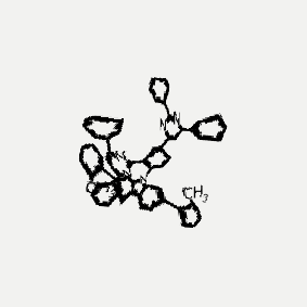 Cc1ccccc1-c1ccc2c3ccc(-c4ccccc4C)cc3n(-c3ccc(-c4cc(-c5ccccc5)nc(-c5ccccc5)n4)cc3-c3nc(-c4ccccc4)cc(-c4ccccc4)n3)c2c1